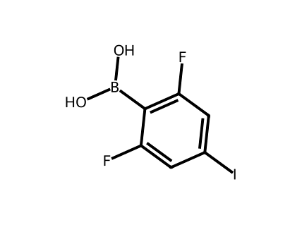 OB(O)c1c(F)cc(I)cc1F